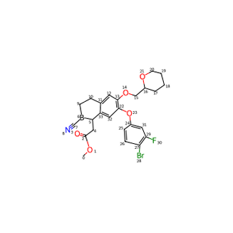 COC(=O)CC1B(C#N)CCc2cc(OCC3CCCCO3)c(Oc3ccc(Br)c(F)c3)cc21